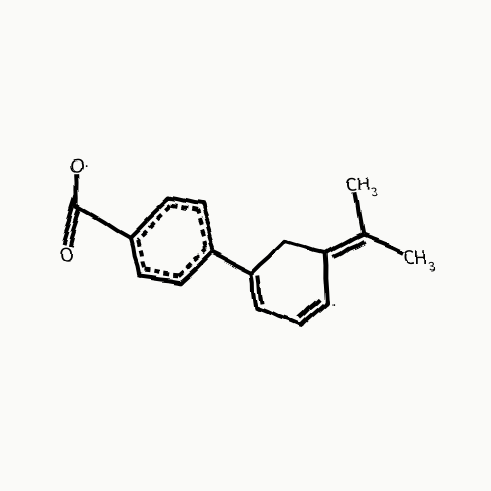 CC(C)=C1[C]=CC=C(c2ccc(C([O])=O)cc2)C1